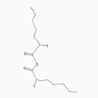 CCCCCC(I)C(=O)OC(=O)C(I)CCCCC